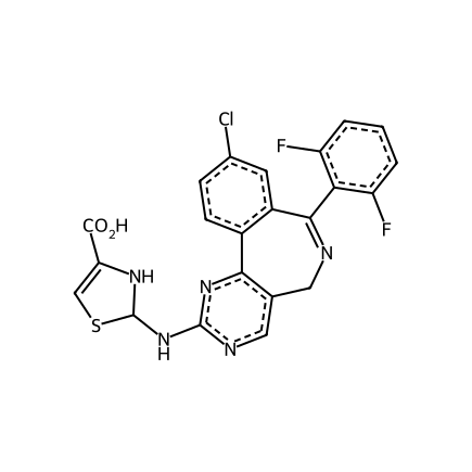 O=C(O)C1=CSC(Nc2ncc3c(n2)-c2ccc(Cl)cc2C(c2c(F)cccc2F)=NC3)N1